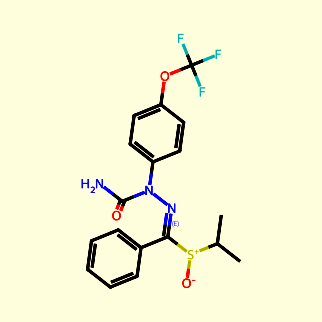 CC(C)[S+]([O-])/C(=N/N(C(N)=O)c1ccc(OC(F)(F)F)cc1)c1ccccc1